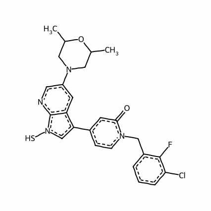 CC1CN(c2cnc3c(c2)c(-c2ccn(Cc4cccc(Cl)c4F)c(=O)c2)cn3S)CC(C)O1